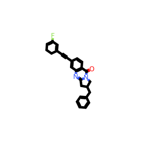 O=c1c2ccc(C#CC3=CC(F)=CCC3)cc2nc2n1CC(Cc1ccccc1)C2